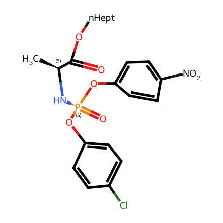 CCCCCCCOC(=O)[C@H](C)N[P@@](=O)(Oc1ccc(Cl)cc1)Oc1ccc([N+](=O)[O-])cc1